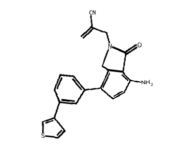 C=C(C#N)CN1Cc2c(-c3cccc(-c4ccsc4)c3)ccc(N)c2C1=O